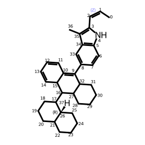 C/C=C\c1[nH]c2ccc(C3=C4C=CC=CC4C(C4CCCC5CCCC[C@H]54)C4CCCCC34)cc2c1C